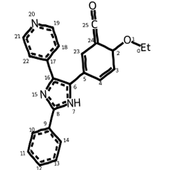 CCOC1C=CC(c2[nH]c(-c3ccccc3)nc2-c2ccncc2)=CC1=C=O